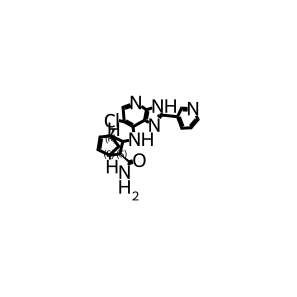 NC(=O)[C@@H]1C(Nc2c(Cl)cnc3[nH]c(-c4cccnc4)nc23)[C@H]2C=C[C@@H]1C2